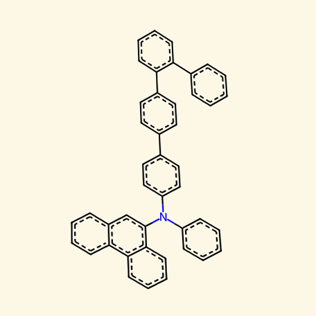 c1ccc(-c2ccccc2-c2ccc(-c3ccc(N(c4ccccc4)c4cc5ccccc5c5ccccc45)cc3)cc2)cc1